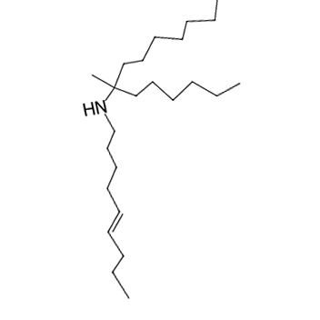 CCCC=CCCCCNC(C)(CCCCCC)CCCCCCC